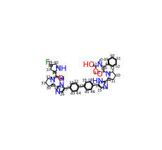 CN(C(=O)O)[C@@H](C(=O)N1CCC[C@H]1c1ncc(-c2ccc(-c3ccc(-c4cnc([C@@H]5CCCN5C(=O)[C@H]5C[C@H](F)CN5)[nH]4)cc3)cc2)[nH]1)c1ccccc1